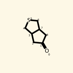 O=C1CC2CSCC2C1